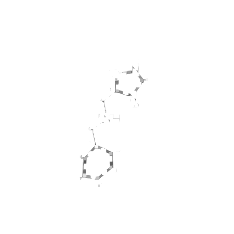 [c]1noc(CNCc2ccccc2)n1